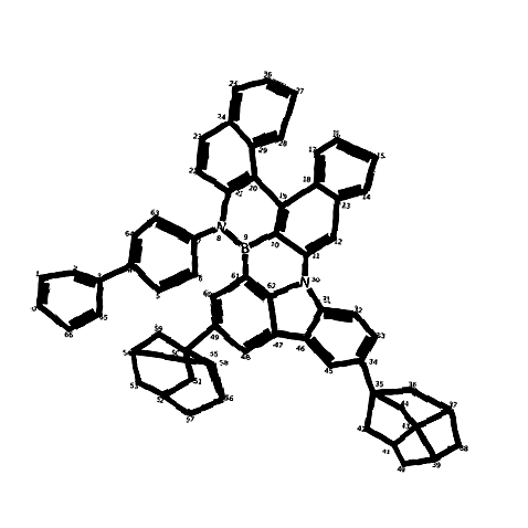 c1ccc(-c2ccc(N3B4c5c(cc6ccccc6c5-c5c3ccc3ccccc53)-n3c5ccc(C67CC8CC9CC(C6)C98C7)cc5c5cc(C67CC8CC(CC(C8)C6)C7)cc4c53)cc2)cc1